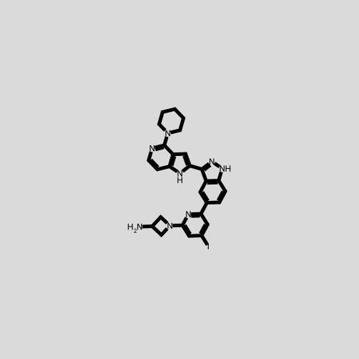 NC1CN(c2cc(I)cc(-c3ccc4[nH]nc(-c5cc6c(N7CCCCC7)nccc6[nH]5)c4c3)n2)C1